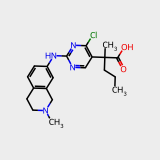 CCCC(C)(C(=O)O)c1cnc(Nc2ccc3c(c2)CN(C)CC3)nc1Cl